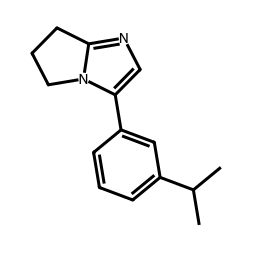 CC(C)c1cccc(-c2cnc3n2CCC3)c1